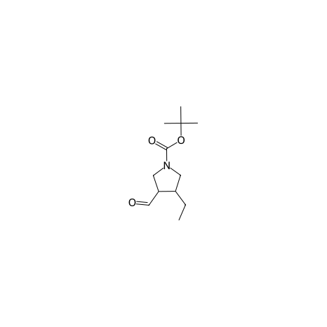 CCC1CN(C(=O)OC(C)(C)C)CC1C=O